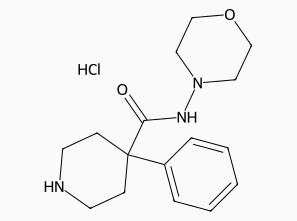 Cl.O=C(NN1CCOCC1)C1(c2ccccc2)CCNCC1